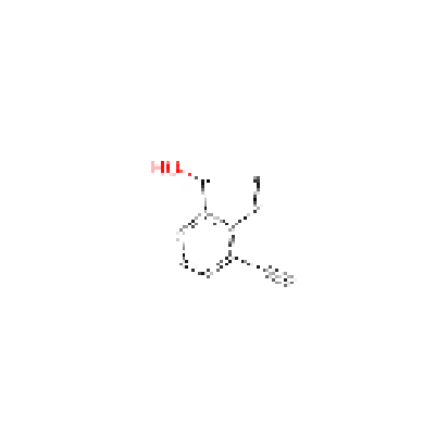 C#Cc1cccc([CH]O)c1C=C